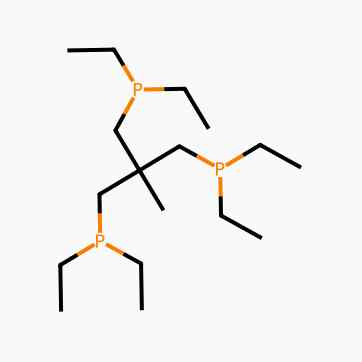 CCP(CC)CC(C)(CP(CC)CC)CP(CC)CC